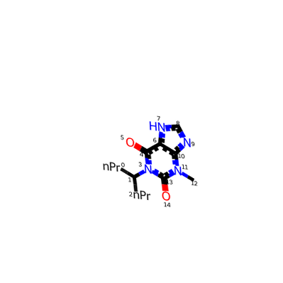 CCCC(CCC)n1c(=O)c2[nH]cnc2n(C)c1=O